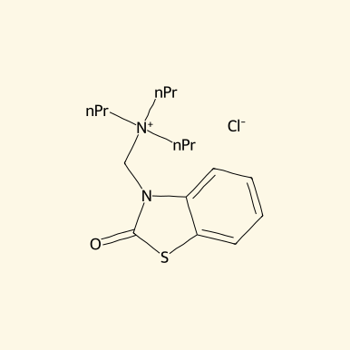 CCC[N+](CCC)(CCC)Cn1c(=O)sc2ccccc21.[Cl-]